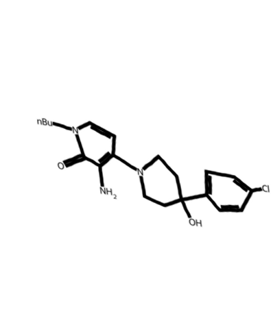 CCCCn1ccc(N2CCC(O)(c3ccc(Cl)cc3)CC2)c(N)c1=O